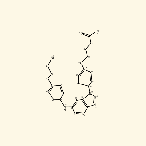 NCCCc1ccc(Nc2ncc3ncn(C4C=CC(OCCCC(=O)O)=CC4)c3n2)cc1